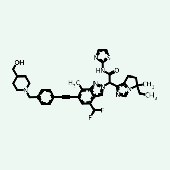 CCC1(C)CCc2c(C(C(=O)Nc3nccs3)n3cc4c(C(F)F)cc(C#Cc5ccc(CN6CCC(CO)CC6)cc5)c(C)c4n3)ncn21